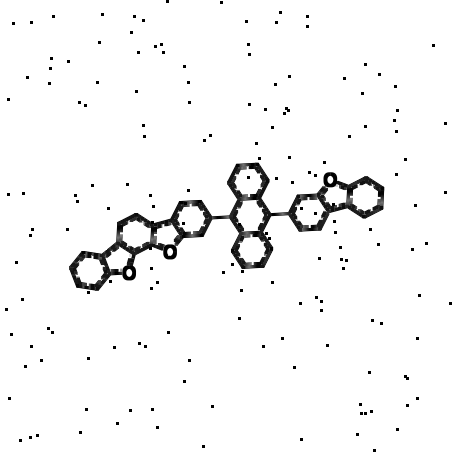 c1ccc2c(c1)oc1cc(-c3c4ccccc4c(-c4ccc5c(c4)oc4c5ccc5c6ccccc6oc54)c4ccccc34)ccc12